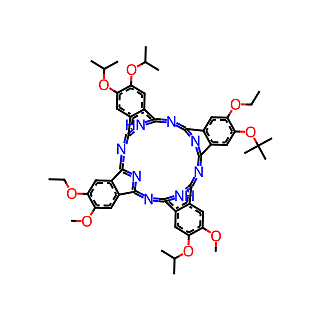 CCOc1cc2c(cc1OC)-c1nc-2nc2[nH]c(nc3nc(nc4[nH]c(n1)c1cc(OC(C)C)c(OC)cc41)-c1cc(OC(C)(C)C)c(OCC)cc1-3)c1cc(OC(C)C)c(OC(C)C)cc21